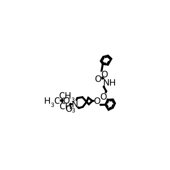 CC(C)(C)OC(=O)N1CCC2(CC1)CC(OCc1ccccc1OCCNC(=O)OCc1ccccc1)C2